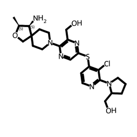 C[C@@H]1OCC2(CCN(c3ncc(Sc4ccnc(N5CCCC5CO)c4Cl)nc3CO)CC2)[C@@H]1N